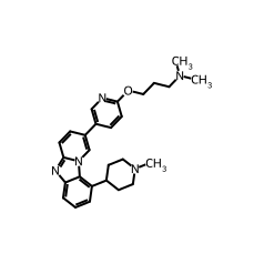 CN(C)CCCOc1ccc(-c2ccc3nc4cccc(C5CCN(C)CC5)c4n3c2)cn1